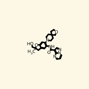 C[C@]1(CO)Cc2cc(NC(=O)c3cnn4cccnc34)c(N3CCC4(CCOC4)CC3)cc2O1